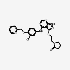 O=C1CCCN1CCOc1n[nH]c2ncnc(Nc3ccc(OCc4ccccn4)c(Cl)c3)c12